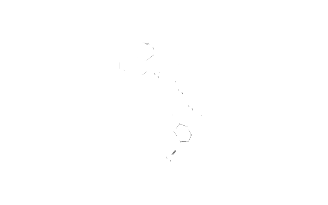 CC1=C(C(=O)N2CCC(C)(NC[C@H](C)N[C@@H](C)c3ccc(C#N)cc3)CC2)C(C)CC=N1